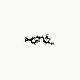 Nc1ccn(Cc2cn3cc(C4CC4)ccc3n2)c(=O)n1